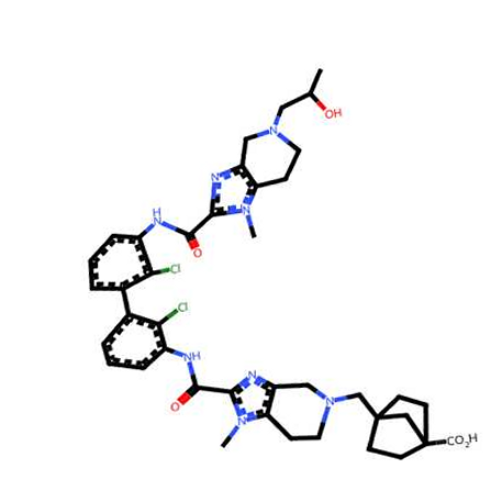 CC(O)CN1CCc2c(nc(C(=O)Nc3cccc(-c4cccc(NC(=O)c5nc6c(n5C)CCN(CC57CCC(C(=O)O)(CC5)C7)C6)c4Cl)c3Cl)n2C)C1